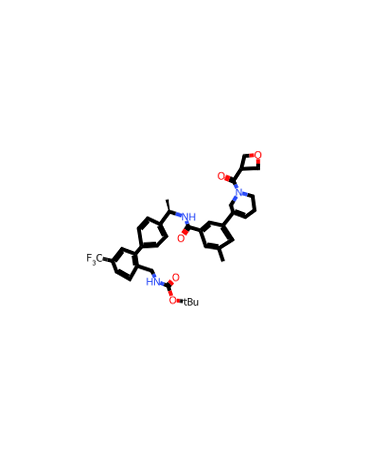 Cc1cc(C(=O)N[C@H](C)c2ccc(-c3cc(C(F)(F)F)ccc3CNC(=O)OC(C)(C)C)cc2)cc(C2=CCCN(C(=O)C3COC3)C2)c1